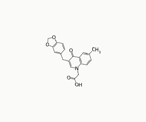 Cc1ccc2c(c1)c(=O)c(Cc1ccc3c(c1)OCO3)cn2CC(=O)O